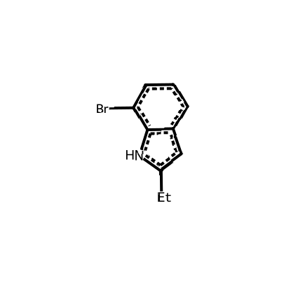 CCc1cc2cccc(Br)c2[nH]1